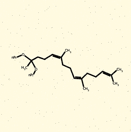 CCCOC(C)(CCC=C(C)CCC=C(C)CCC=C(C)C)OCCC